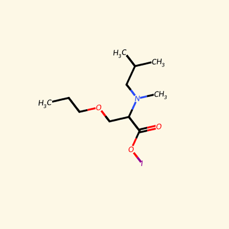 CCCOCC(C(=O)OI)N(C)CC(C)C